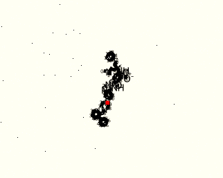 CN(C)CC[C@](C)(CSc1ccccc1)Nc1ccc(S(=O)(=O)Nc2ncnc3cc(N4CCN(Cc5ccccc5-c5ccccc5)CC4)ccc23)cc1[N+](=O)[O-]